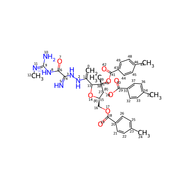 C=C(NNC(=N)C(=O)N/C(N)=N\C)C1O[C@H](COC(=O)c2ccc(C)cc2)[C@@H](OC(=O)c2ccc(C)cc2)[C@@]1(C)OC(=O)c1ccc(C)cc1